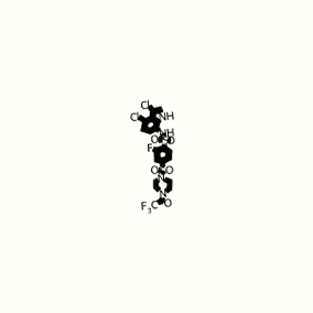 O=C(N1CCN(S(=O)(=O)c2ccc(S(=O)(=O)Nc3ccc(Cl)c4c(Cl)c[nH]c34)c(F)c2)CC1)C(F)(F)F